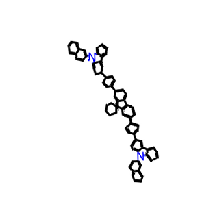 C1=c2c(n(-c3ccc4ccccc4c3)c3ccccc23)=CCC1c1ccc(-c2ccc3c(c2)C2(CCCCC2)c2cc(-c4ccc(-c5ccc6c(c5)c5ccccc5n6-c5ccc6ccccc6c5)cc4)ccc2-3)cc1